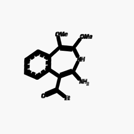 CCC(=O)C1=C(N)NC(OC)=C(OC)c2ccccc21